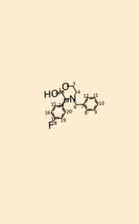 O[C@@H]1OCCN(Cc2ccccc2)[C@H]1c1ccc(F)cc1